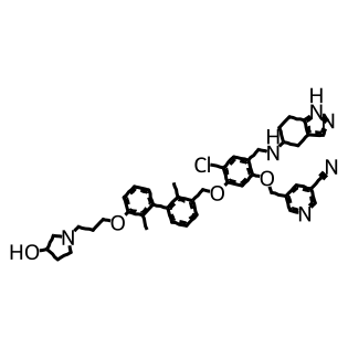 Cc1c(COc2cc(OCc3cncc(C#N)c3)c(CNC3CCc4[nH]ncc4C3)cc2Cl)cccc1-c1cccc(OCCCN2CCC(O)C2)c1C